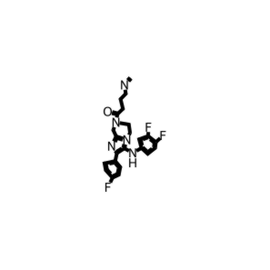 C=NCCCC(=O)N1CCn2c(nc(-c3ccc(F)cc3)c2Nc2ccc(F)c(F)c2)C1